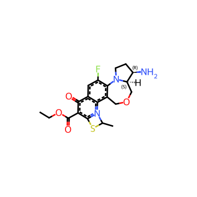 CCOC(=O)c1c2n(c3c4c(c(F)cc3c1=O)N1CC[C@@H](N)[C@H]1COC4)C(C)S2